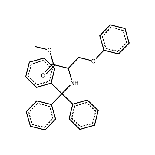 COC(=O)C(COc1ccccc1)NC(c1ccccc1)(c1ccccc1)c1ccccc1